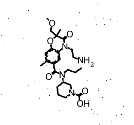 CCCN(C(=O)c1cc2c(cc1C)OC(C)(COC)C(=O)N2CCN)[C@@H]1CCCN(C(=O)O)C1